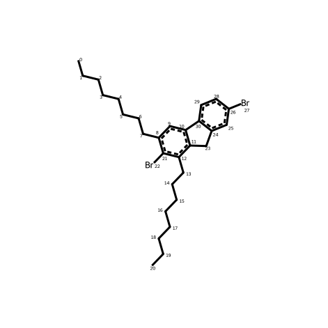 CCCCCCCCc1cc2c(c(CCCCCCCC)c1Br)Cc1cc(Br)ccc1-2